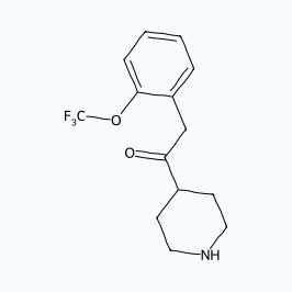 O=C(Cc1ccccc1OC(F)(F)F)C1CCNCC1